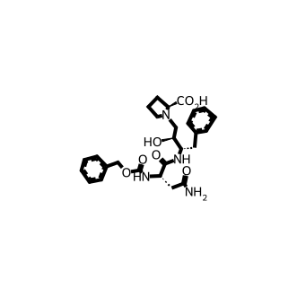 NC(=O)C[C@H](NC(=O)OCc1ccccc1)C(=O)N[C@@H](Cc1ccccc1)[C@@H](O)CN1CCC[C@H]1C(=O)O